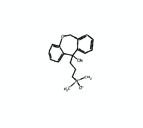 C[N+](C)([O-])CCCC1(C#N)c2ccccc2COc2ccccc21